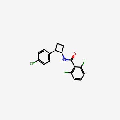 O=C(NC1CC[C@@H]1c1ccc(Cl)cc1)c1c(F)cccc1F